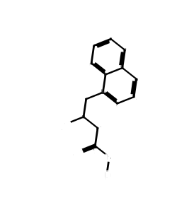 CCNC(=O)CC(Cc1cccc2ccccc12)C(=O)O